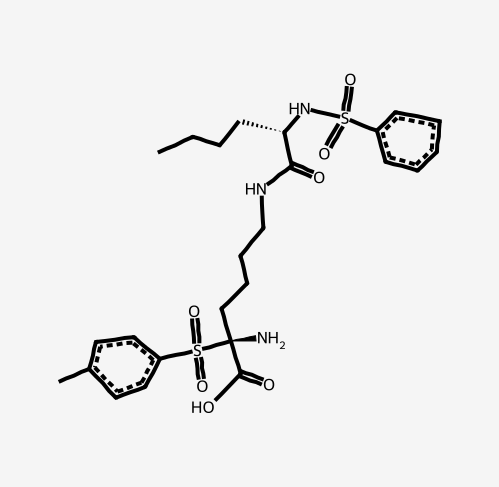 CCCC[C@H](NS(=O)(=O)c1ccccc1)C(=O)NCCCC[C@](N)(C(=O)O)S(=O)(=O)c1ccc(C)cc1